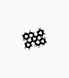 C(=C/c1cc(-c2ccccc2)c(/C=C\c2ccccc2)cc1-c1ccccc1)/c1ccccc1